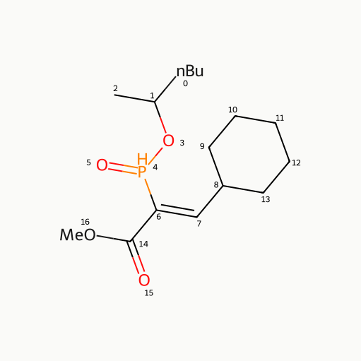 CCCCC(C)O[PH](=O)C(=CC1CCCCC1)C(=O)OC